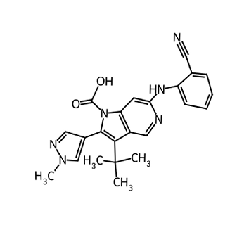 Cn1cc(-c2c(C(C)(C)C)c3cnc(Nc4ccccc4C#N)cc3n2C(=O)O)cn1